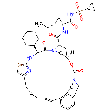 CC[C@@H]1C[C@]1(NC(=O)[C@@H]1C[C@@H]2CN1C(=O)[C@H](C1CCCCC1)Nc1nc(cs1)CCC/C=C/c1cccc3c1CN(C3)C(=O)O2)C(=O)NS(=O)(=O)C1CC1